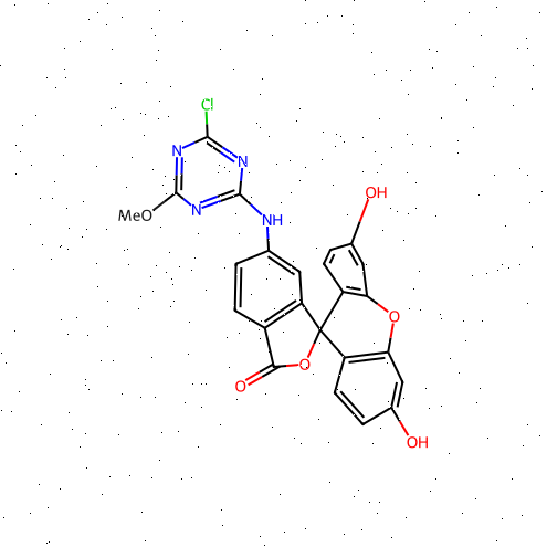 COc1nc(Cl)nc(Nc2ccc3c(c2)C2(OC3=O)c3ccc(O)cc3Oc3cc(O)ccc32)n1